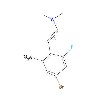 CN(C)/C=C/c1c(F)cc(Br)cc1[N+](=O)[O-]